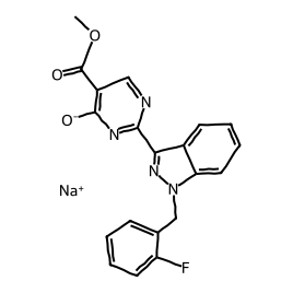 COC(=O)c1cnc(-c2nn(Cc3ccccc3F)c3ccccc23)nc1[O-].[Na+]